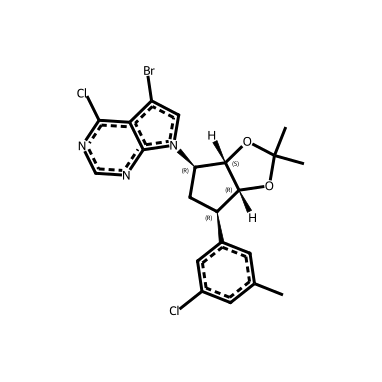 Cc1cc(Cl)cc([C@H]2C[C@@H](n3cc(Br)c4c(Cl)ncnc43)[C@@H]3OC(C)(C)O[C@@H]32)c1